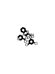 O=S(=O)(Nc1nc2ccccc2nc1OC(c1cccnc1)C(F)(F)F)c1cc(Cl)cc(Cl)c1